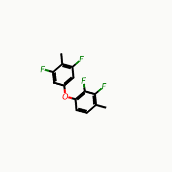 Cc1ccc(Oc2cc(F)c(C)c(F)c2)c(F)c1F